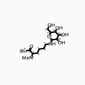 CCC(C)C(=O)C(CCCCNC1OC(CO)C(O)C(O)C1O)NC